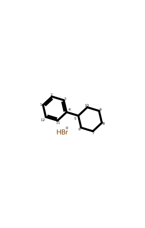 Br.c1ccc(C2CCCCC2)cc1